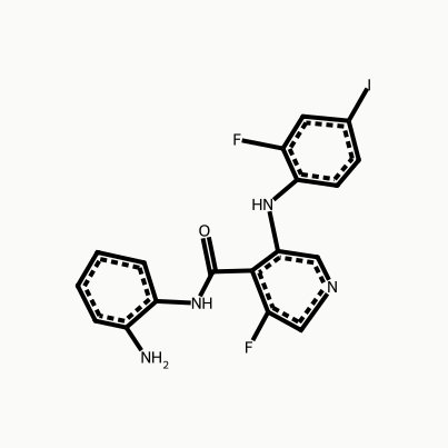 Nc1ccccc1NC(=O)c1c(F)cncc1Nc1ccc(I)cc1F